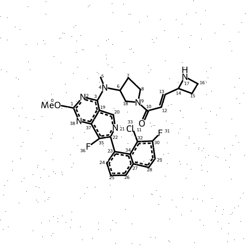 COc1nc(N(C)C2CCN(C(=O)/C=C/C3CCN3)C2)c2cnc(-c3cccc4ccc(F)c(Cl)c34)c(F)c2n1